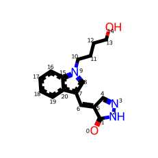 O=C1NN=CC1=Cc1cn(CCCCO)c2ccccc12